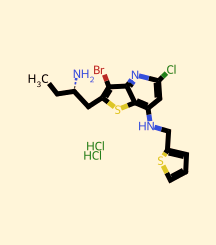 CC[C@H](N)Cc1sc2c(NCc3cccs3)cc(Cl)nc2c1Br.Cl.Cl